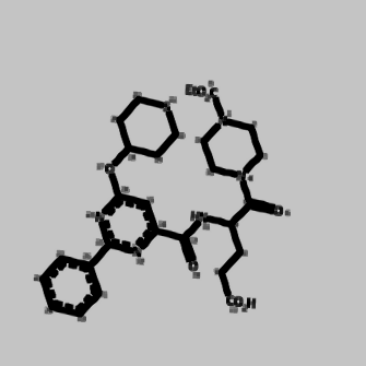 CCOC(=O)N1CCN(C(=O)C(CCC(=O)O)NC(=O)c2cc(OC3CCSCC3)nc(-c3ccccc3)n2)CC1